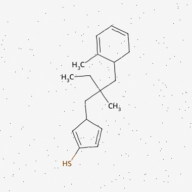 CCC(C)(CC1C=CC(S)=C1)CC1CC=CC=C1C